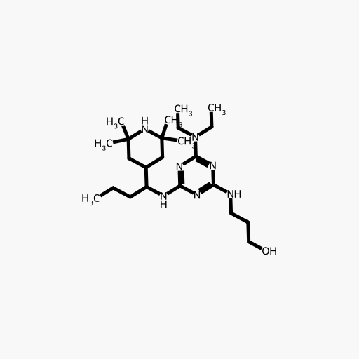 CCCC(Nc1nc(NCCCO)nc(N(CC)CC)n1)C1CC(C)(C)NC(C)(C)C1